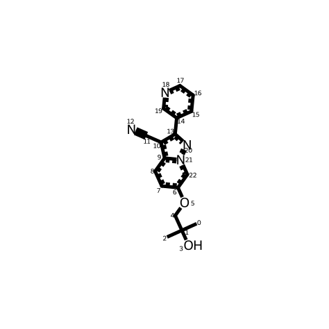 CC(C)(O)COc1ccc2c(C#N)c(-c3cccnc3)nn2c1